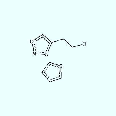 ClCCc1conn1.c1ccsc1